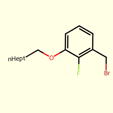 CCCCCCCCOc1cccc(CBr)c1F